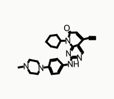 C#Cc1cc(=O)n(C2CCCCC2)c2nc(Nc3ccc(N4CCN(C)CC4)cc3)ncc12